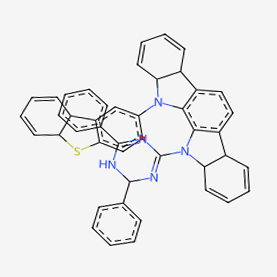 C1=CC2Sc3ccc(N4c5c(ccc6c5N(C5=NC(c7ccccc7)NC(c7ccccc7)=N5)C5C=CC=CC65)C5C=CC=CC54)cc3C2C=C1